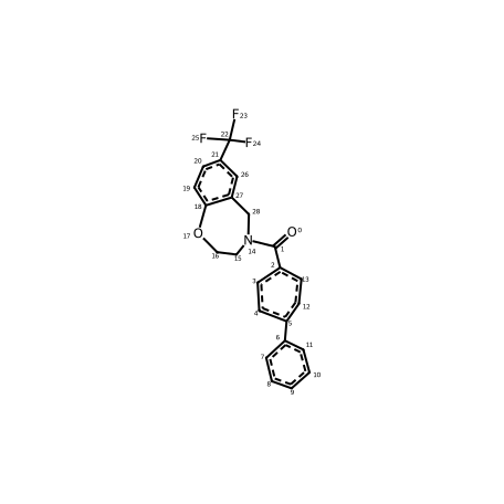 O=C(c1ccc(-c2ccccc2)cc1)N1CCOc2ccc(C(F)(F)F)cc2C1